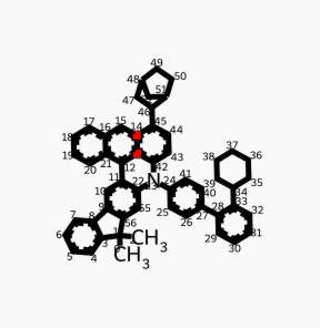 CC1(C)c2ccccc2-c2cc(-c3cccc4ccccc34)c(N(c3ccc(-c4ccccc4C4CCCCC4)cc3)c3ccc(C4CC5CCC4C5)cc3)cc21